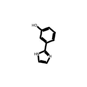 Oc1cc[c]c(-c2ncc[nH]2)c1